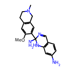 COc1cc2c(cc1C1(N)N=Cc3ccc(N)cc3N1)CN(C)CC2